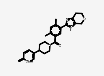 C=C(/C=C\C(=C/C)C1CCN(C(=O)c2cc(-c3nc4c([nH]3)COCC4)c(C)cc2C)CC1)OC